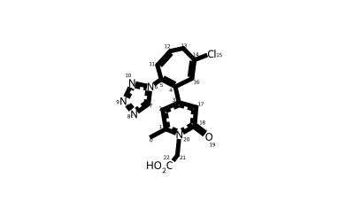 Cc1cc(C2=C(n3cnnn3)C=CCC(Cl)=C2)cc(=O)n1CC(=O)O